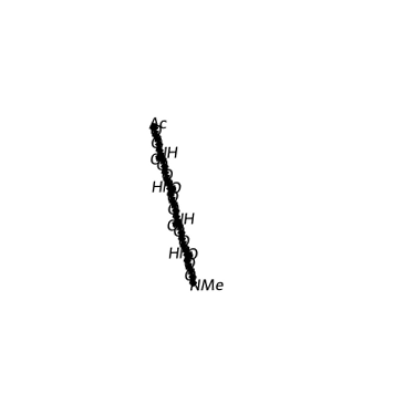 CNCCOCCOCC(=O)NCCOCCOCC(=O)NCCOCCOCC(=O)NCCOCCOCC(=O)NCCOCCOCC(C)=O